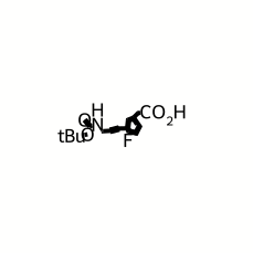 CC(C)(C)OC(=O)NCC#Cc1cc(CC(=O)O)ccc1F